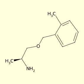 Cc1ccccc1COC[C@H](C)N